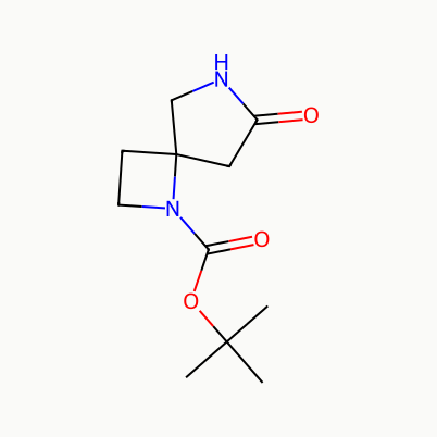 CC(C)(C)OC(=O)N1CCC12CNC(=O)C2